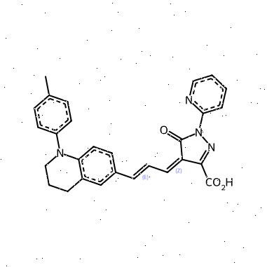 Cc1ccc(N2CCCc3cc(/C=C/C=C4\C(=O)N(c5ccccn5)N=C4C(=O)O)ccc32)cc1